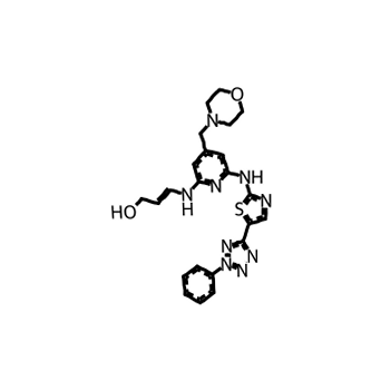 OC/C=C/Nc1cc(CN2CCOCC2)cc(Nc2ncc(-c3nnn(-c4ccccc4)n3)s2)n1